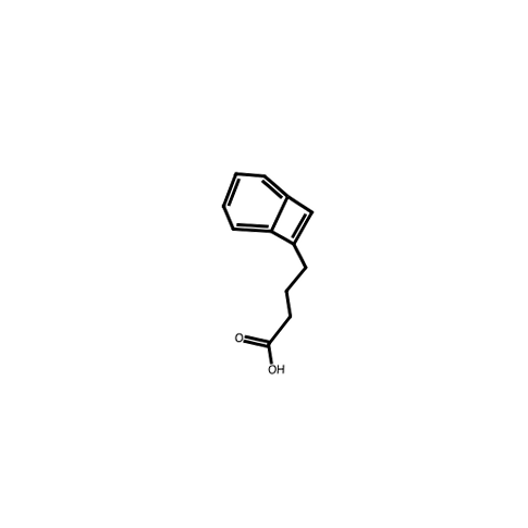 O=C(O)CCCC1=Cc2ccccc21